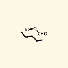 CCCCC.CCOC=O